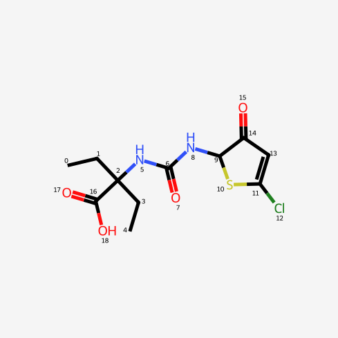 CCC(CC)(NC(=O)NC1SC(Cl)=CC1=O)C(=O)O